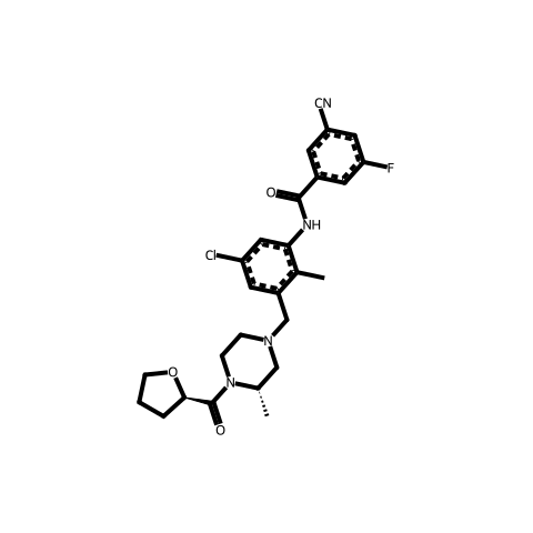 Cc1c(CN2CCN(C(=O)[C@H]3CCCO3)[C@@H](C)C2)cc(Cl)cc1NC(=O)c1cc(F)cc(C#N)c1